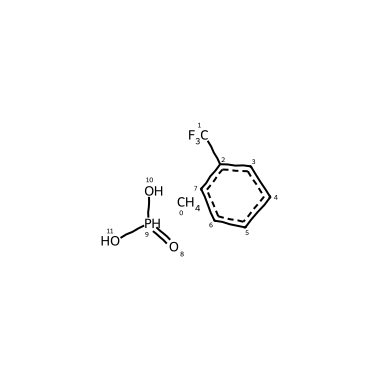 C.FC(F)(F)c1ccccc1.O=[PH](O)O